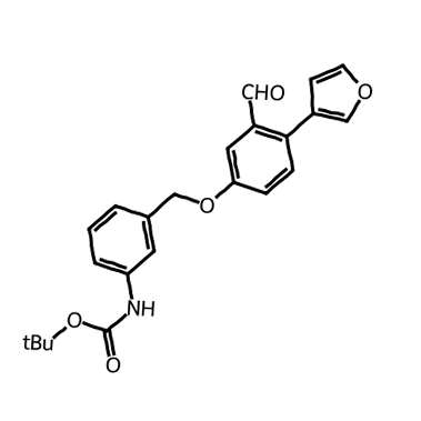 CC(C)(C)OC(=O)Nc1cccc(COc2ccc(-c3ccoc3)c(C=O)c2)c1